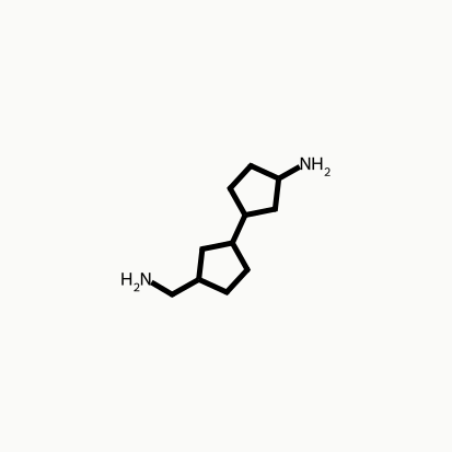 NCC1CCC(C2CCC(N)C2)C1